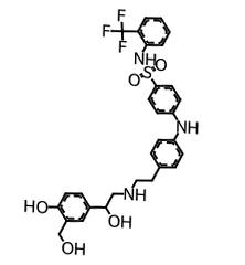 O=S(=O)(Nc1ccccc1C(F)(F)F)c1ccc(Nc2ccc(CCNCC(O)c3ccc(O)c(CO)c3)cc2)cc1